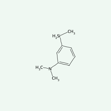 C[SiH2]c1cccc(N(C)C)c1